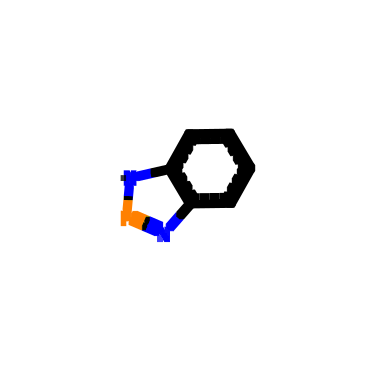 c1ccc2c(c1)[N]P=N2